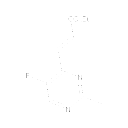 CCOC(=O)/C=C/c1nc(C)ncc1F